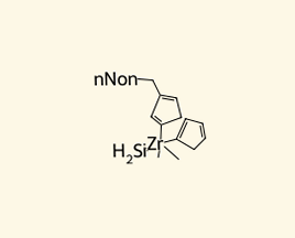 CCCCCCCCCCC1=CC[C]([Zr]([CH3])([CH3])(=[SiH2])[C]2=CC=CC2)=C1